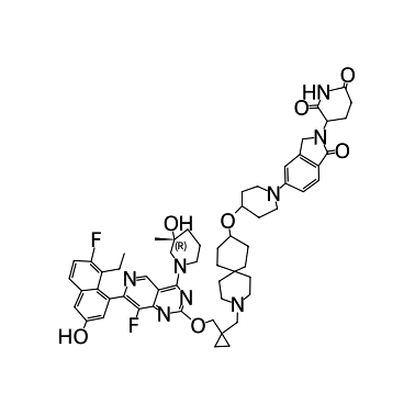 CCc1c(F)ccc2cc(O)cc(-c3ncc4c(N5CCC[C@@](C)(O)C5)nc(OCC5(CN6CCC7(CCC(OC8CCN(c9ccc%10c(c9)CN(C9CCC(=O)NC9=O)C%10=O)CC8)CC7)CC6)CC5)nc4c3F)c12